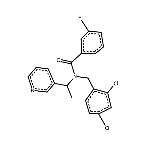 CC(c1cccnc1)N(Cc1ccc(Cl)cc1Cl)C(=O)c1cccc(F)c1